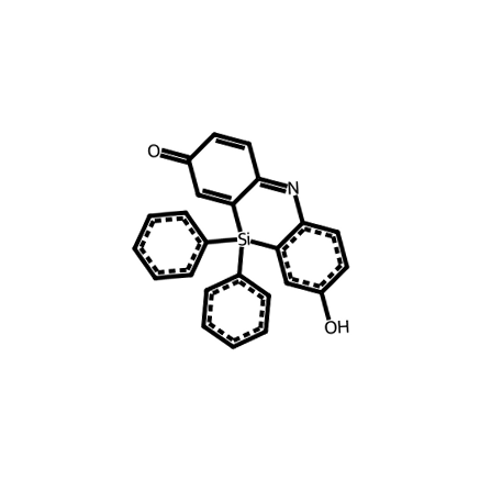 O=C1C=CC2=Nc3ccc(O)cc3[Si](c3ccccc3)(c3ccccc3)C2=C1